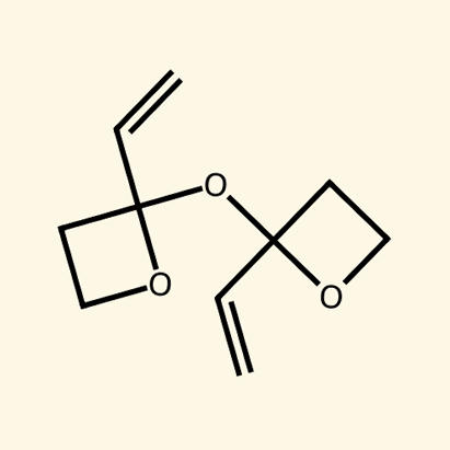 C=CC1(OC2(C=C)CCO2)CCO1